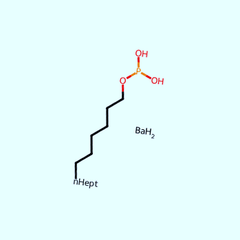 CCCCCCCCCCCCCOP(O)O.[BaH2]